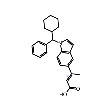 C/C(=C\C(=O)O)c1ccc2c(ccn2C(c2ccccc2)C2CCCCC2)c1